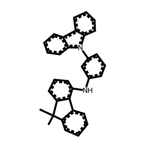 CC1(C)c2ccccc2-c2c(Nc3cccc(-n4c5ccccc5c5ccccc54)c3)cccc21